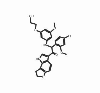 COc1cc(NC(C(=O)c2c[nH]c3c4c(ccc23)OCC4)c2ccc(Cl)cc2OC)cc(OCCO)c1